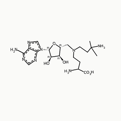 CC(C)(N)CCN(CCC(N)C(=O)O)C[C@H]1O[C@@H](n2cnc3c(N)ncnc32)[C@H](O)[C@@H]1O